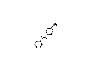 CC(C)c1ccc(N=Nc2ccccc2)cc1